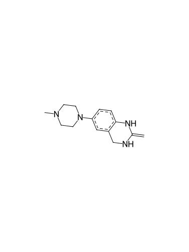 C=C1NCc2cc(N3CCN(C)CC3)ccc2N1